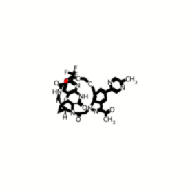 CC(=O)c1nn2c3c(cc(-c4cnc(C)cn4)cc13)CCCCCCC(=O)NC[C@@]13C[C@@H](C(=O)Nc4nc(C(F)(F)F)ccc4C)N(C(=O)C2)[C@@H]1C3